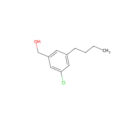 CCCCc1cc(Cl)cc(CO)c1